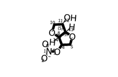 O=[N+]([O-])OC1CO[C@H]2[C@@H]1OC[C@@H]2O